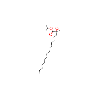 CCCCCCCCCCCCCCCC1(C(=O)OC(C)C)CO1